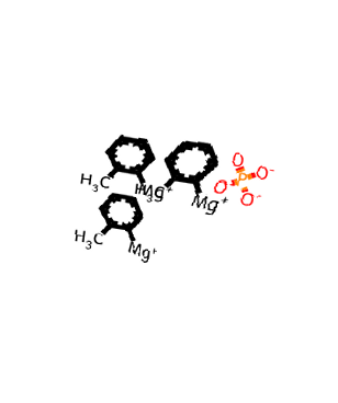 Cc1cccc[c]1[Mg+].Cc1cccc[c]1[Mg+].Cc1cccc[c]1[Mg+].O=P([O-])([O-])[O-]